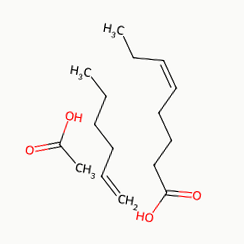 C=CCCCC.CC(=O)O.CC/C=C\CCCC(=O)O